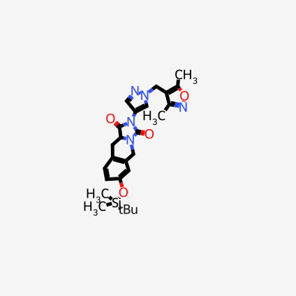 Cc1noc(C)c1Cn1cc(N2C(=O)C3Cc4ccc(O[Si](C)(C)C(C)(C)C)cc4CN3C2=O)cn1